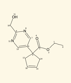 CCOC(=O)C1(c2cnc(CO)nc2)CC=CC1